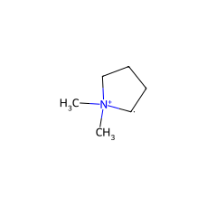 C[N+]1(C)[CH]CCC1